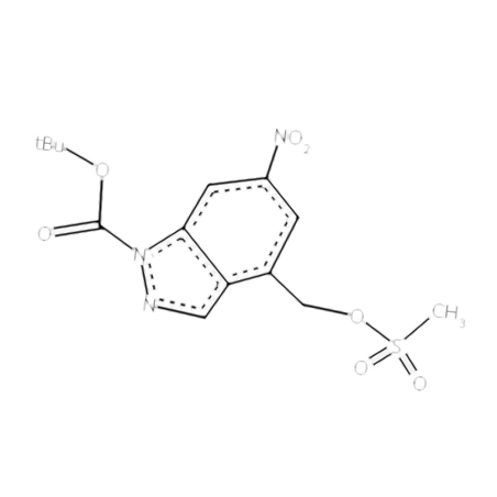 CC(C)(C)OC(=O)n1ncc2c(COS(C)(=O)=O)cc([N+](=O)[O-])cc21